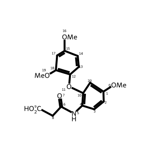 COc1ccc(NC(=O)CC(=O)O)c(Oc2ccc(OC)cc2OC)c1